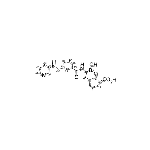 O=C(N[C@H]1Cc2cccc(C(=O)O)c2OB1O)c1cccc(CNc2cccnc2)c1